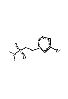 CN(C)S(=O)(=O)CCc1cccc(Br)c1